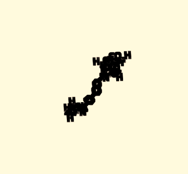 CC(C)[C@@H](C(=O)N1[C@@H]2C[C@@H]2C[C@H]1c1nc(-c2ccc3cc(-c4ccc(-c5cnc([C@@H]6C[C@@H]7C[C@H]7N6)[nH]5)cc4)ccc3c2)c[nH]1)N(C)C(=O)O